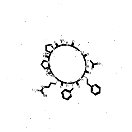 CCCC[C@@H]1NC(=O)[C@H](C)NC(=O)[C@H](CC(N)=O)NC(=O)[C@H](CCc2ccccc2)NC(=O)[C@H](Cc2ccccc2)NC(=O)[C@H](CCCNC(=N)N)NC(=O)[C@@H]2CCCN2C(=O)[C@H]2CCCN2C1=O